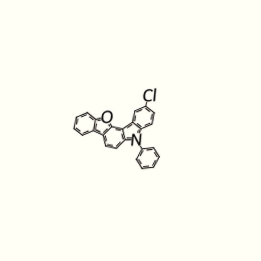 Clc1ccc2c(c1)c1c3oc4ccccc4c3ccc1n2-c1ccccc1